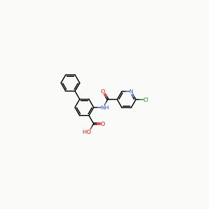 O=C(Nc1cc(-c2ccccc2)ccc1C(=O)O)c1ccc(Cl)nc1